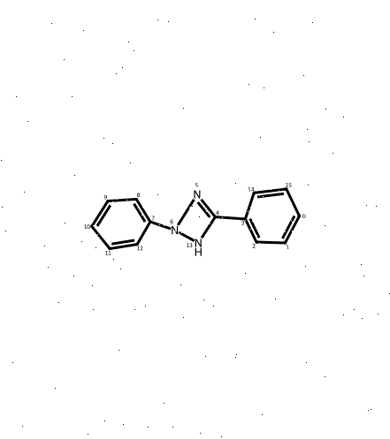 c1ccc(-c2nn(-c3ccccc3)[nH]2)cc1